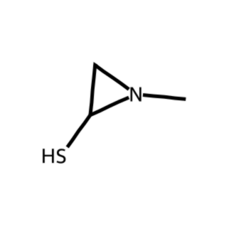 CN1CC1S